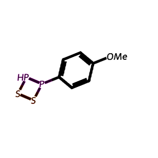 COc1ccc(P2PSS2)cc1